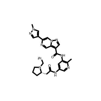 Cc1ncc(NC(=O)C[C@@H]2CCCN2CC(C)C)cc1NC(=O)c1cnn2cc(-c3cnn(C)c3)ncc12